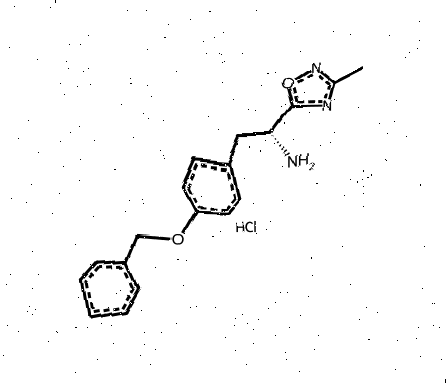 Cc1noc([C@H](N)Cc2ccc(OCc3ccccc3)cc2)n1.Cl